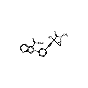 COC(=O)c1c2cccnc2nn1-c1cccc(C#CC2(O)C(=O)N(C)C3CC32)c1